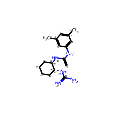 C=C(Nc1cc(C(F)(F)F)cc(C(F)(F)F)c1)N[C@@H]1CCCC[C@H]1NC(=N)N